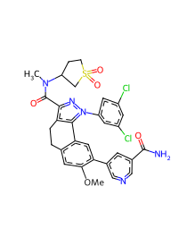 COc1cc2c(cc1-c1cncc(C(N)=O)c1)-c1c(c(C(=O)N(C)C3CCS(=O)(=O)C3)nn1-c1cc(Cl)cc(Cl)c1)CC2